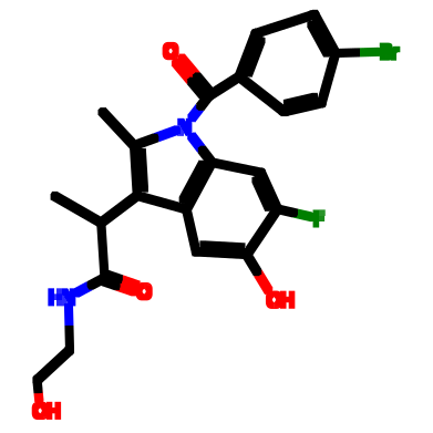 Cc1c(C(C)C(=O)NCCO)c2cc(O)c(F)cc2n1C(=O)c1ccc(Br)cc1